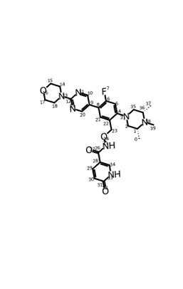 C[C@@H]1CN(c2cc(F)c(-c3cnc(N4CCOCC4)nc3)cc2CONC(=O)c2ccc(=O)[nH]c2)C[C@H](C)N1C